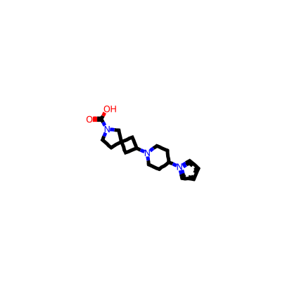 O=C(O)N1CCC2(CC(N3CCC(n4cccc4)CC3)C2)C1